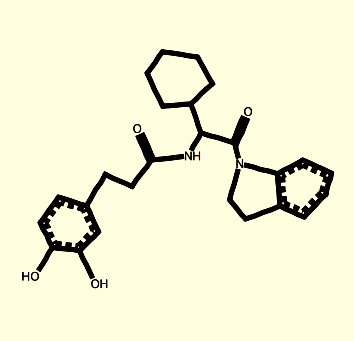 O=C(CCc1ccc(O)c(O)c1)NC(C(=O)N1CCc2ccccc21)C1CCCCC1